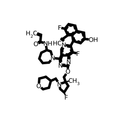 C#Cc1c(F)ccc2cc(O)cc(-c3ncc4c(N5CCCCC(NC(=O)C=C)C5)nc(OC[C@]5(C)C[C@@H](F)CN5CC5CCOCC5)nc4c3F)c12